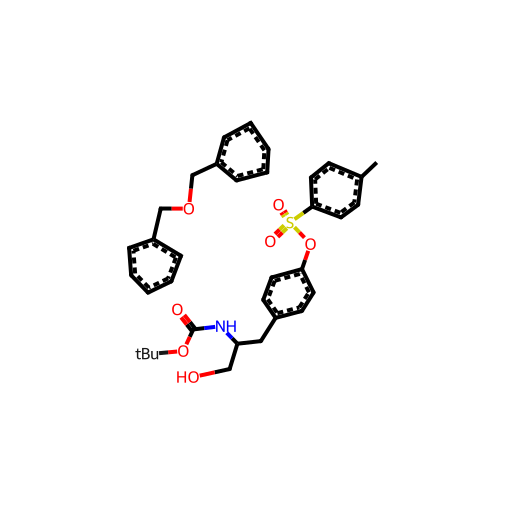 Cc1ccc(S(=O)(=O)Oc2ccc(CC(CO)NC(=O)OC(C)(C)C)cc2)cc1.c1ccc(COCc2ccccc2)cc1